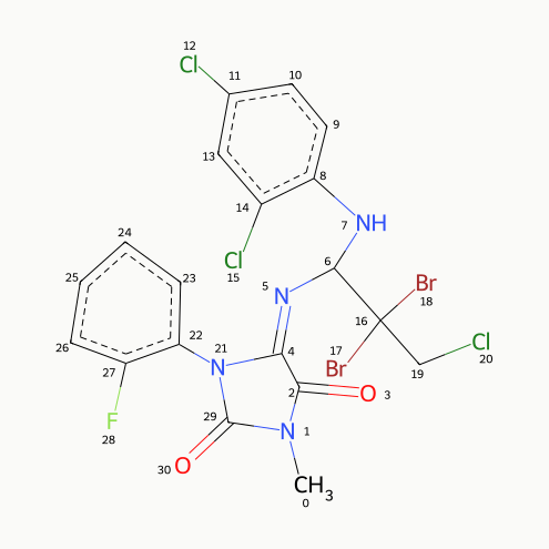 CN1C(=O)C(=NC(Nc2ccc(Cl)cc2Cl)C(Br)(Br)CCl)N(c2ccccc2F)C1=O